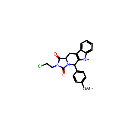 COc1ccc(C2c3[nH]c4ccccc4c3CC3C(=O)N(CCCl)C(=O)N32)cc1